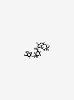 Cc1cc(Nc2cncc(NC3C(C)CC4CC3CC(C)(O)C4)n2)n[nH]1